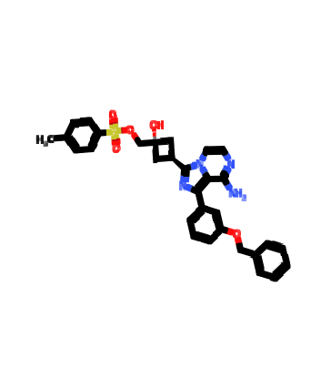 Cc1ccc(S(=O)(=O)OC[C@]2(O)C[C@H](c3nc(-c4cccc(OCc5ccccc5)c4)c4c(N)nccn43)C2)cc1